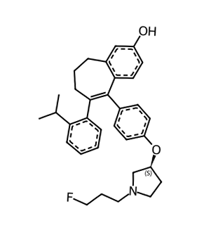 CC(C)c1ccccc1C1=C(c2ccc(O[C@H]3CCN(CCCF)C3)cc2)c2ccc(O)cc2CCC1